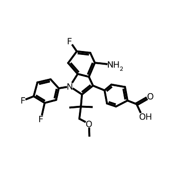 COCC(C)(C)c1c(-c2ccc(C(=O)O)cc2)c2c(N)cc(F)cc2n1-c1ccc(F)c(F)c1